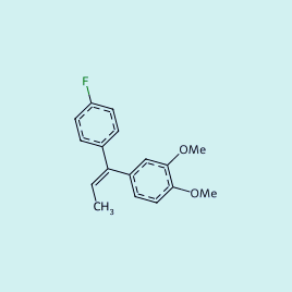 CC=C(c1ccc(F)cc1)c1ccc(OC)c(OC)c1